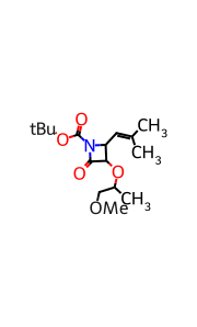 COCC(C)OC1C(=O)N(C(=O)OC(C)(C)C)C1C=C(C)C